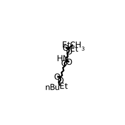 CCCCC(CC)COC(=O)CCCCCOC(=O)NCCOC(=O)C(C)(CC)CC